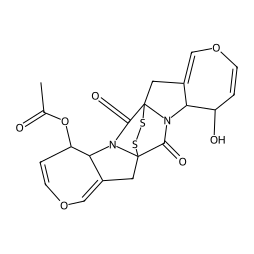 CC(=O)OC1C=COC=C2CC34SSC5(CC6=COC=CC(O)C6N5C3=O)C(=O)N4C21